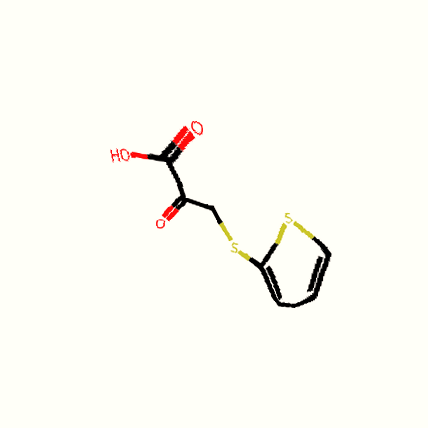 O=C(O)C(=O)CSc1cccs1